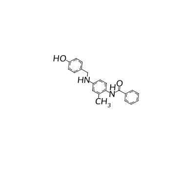 Cc1cc(NCc2ccc(O)cc2)ccc1NC(=O)c1ccccc1